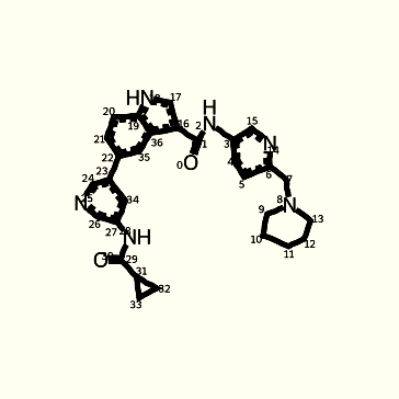 O=C(Nc1ccc(CN2CCCCC2)nc1)c1c[nH]c2ccc(-c3cncc(NC(=O)C4CC4)c3)cc12